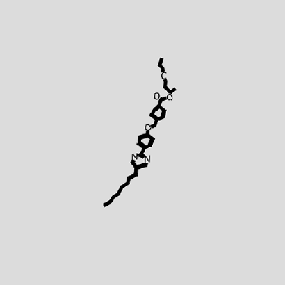 CCCCCCCCc1cnc(-c2ccc(OCc3ccc(C(=O)OC(C)CCCCCC)cc3)cc2)nc1